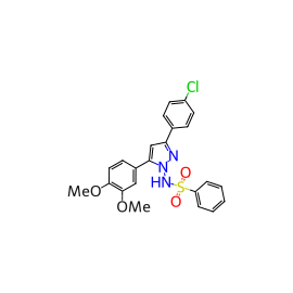 COc1ccc(-c2cc(-c3ccc(Cl)cc3)nn2NS(=O)(=O)c2ccccc2)cc1OC